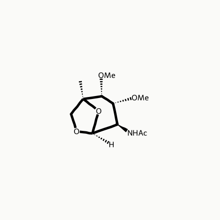 CO[C@@H]1[C@@H](NC(C)=O)[C@H]2OC[C@](C)(O2)[C@@H]1OC